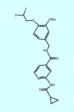 COc1cc(CNC(=O)c2ccnc(NC(=O)C3CC3)c2)ccc1OCC(F)F